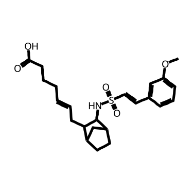 COc1cccc(C=CS(=O)(=O)NC2C3CCC(C3)C2CC=CCCCC(=O)O)c1